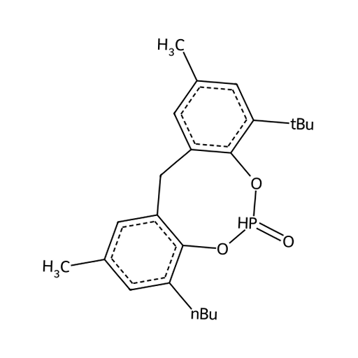 CCCCc1cc(C)cc2c1O[PH](=O)Oc1c(cc(C)cc1C(C)(C)C)C2